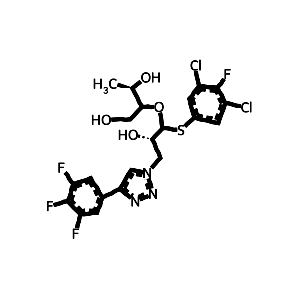 C[C@@H](O)C(CO)OC(Sc1cc(Cl)c(F)c(Cl)c1)[C@@H](O)Cn1cc(-c2cc(F)c(F)c(F)c2)nn1